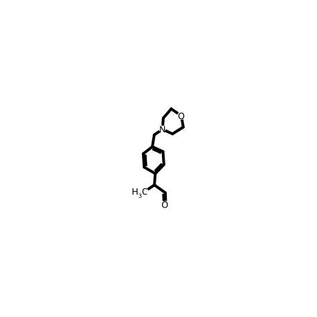 CC(C=O)c1ccc(CN2CCOCC2)cc1